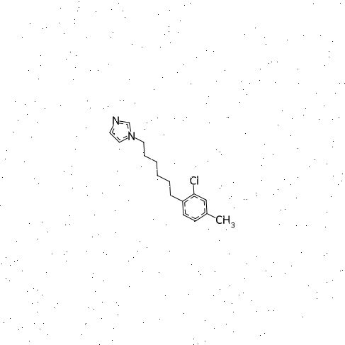 Cc1ccc(CCCCCCn2ccnc2)c(Cl)c1